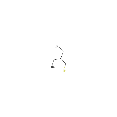 CC(C)(C)CC(CS)CC(C)(C)C